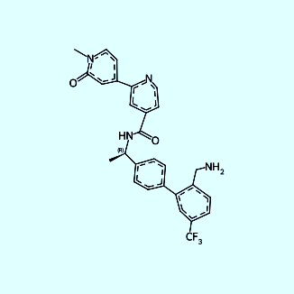 C[C@@H](NC(=O)c1ccnc(-c2ccn(C)c(=O)c2)c1)c1ccc(-c2cc(C(F)(F)F)ccc2CN)cc1